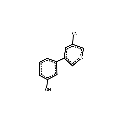 N#Cc1cncc(-c2cccc(O)c2)c1